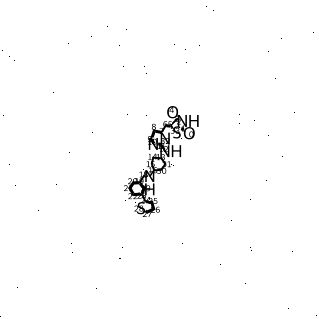 O=C1NC(=O)C(=Cc2ccnc(N[C@H]3CC[C@H](NCc4cccc(-c5cccs5)c4)CC3)n2)S1